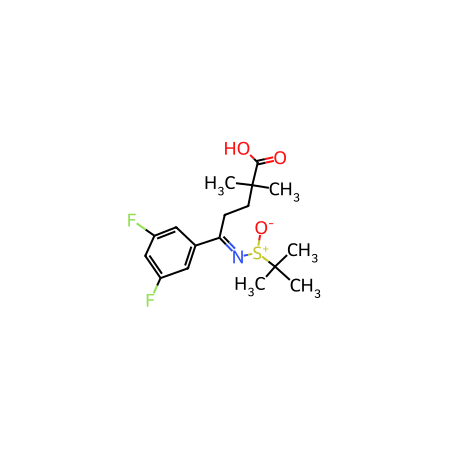 CC(C)(CC/C(=N\[S+]([O-])C(C)(C)C)c1cc(F)cc(F)c1)C(=O)O